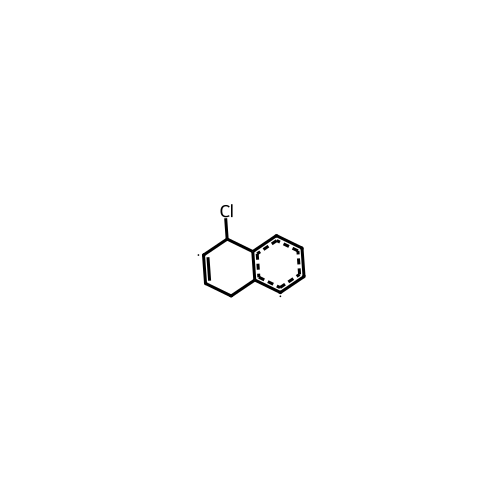 ClC1[C]=CCc2[c]cccc21